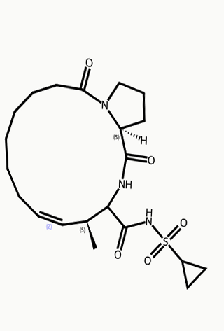 C[C@H]1/C=C\CCCCCCC(=O)N2CCC[C@H]2C(=O)NC1C(=O)NS(=O)(=O)C1CC1